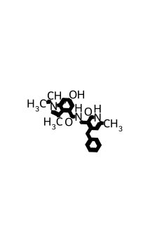 Cc1cc(Cc2ccccc2)c(CNC(=O)c2cc(O)cc3c2c(C)cn3C(C)C)c(=O)[nH]1